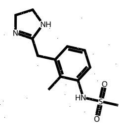 Cc1c(CC2=NCCN2)cccc1NS(C)(=O)=O